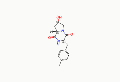 Cc1ccc(C[C@@H]2NC(=O)[C@@H]3C[C@@H](O)CN3C2=O)cc1